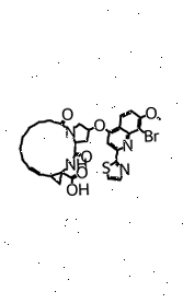 COc1ccc2c(OC3CC4C(=O)NC5(C(=O)O)CC5C=CCCCCCCC(=O)N4C3)cc(-c3nccs3)nc2c1Br